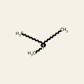 CCCCCCCCCCCCCc1cc[n+](CCCCCC)cc1CCCCCCCCCCCCC